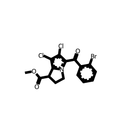 COC(=O)C1CCn2c(C(=O)c3ccccc3Br)c(Cl)c(Cl)c21